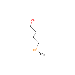 BPCCCCO